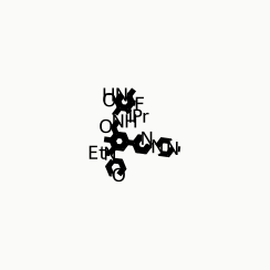 CCN(c1cc(-c2ccc(N3CCN(C)CC3)nc2)cc(C(=O)NCc2c(C(C)C)c(F)c(C)[nH]c2=O)c1C)C1CCOCC1